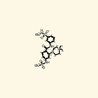 CC(C)(C)NS(=O)(=O)c1cccc(NC(=O)c2ccc(NS(=O)(=O)C(C)(C)C)cc2N2CC[Si](C)(C)CC2)c1